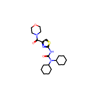 O=C(c1csc(NC(=O)N(C2CCCCC2)C2CCCCC2)n1)N1CCOCC1